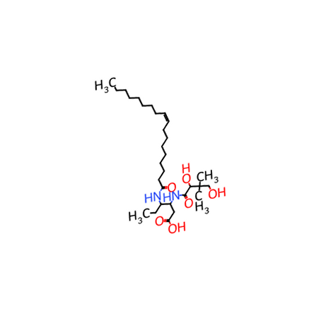 CCCCCCCC/C=C\CCCCCCCC(=O)NC(CC)C(CC(=O)O)NC(=O)C(O)C(C)(C)CO